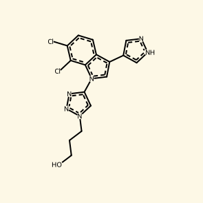 OCCCn1cc(-n2cc(-c3cn[nH]c3)c3ccc(Cl)c(Cl)c32)nn1